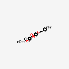 CCCCCCCCCCC(C)Oc1ccc(C(=O)Oc2ccc(OCCC[C@H]3CC[C@H](CCC)CC3)cc2)cc1